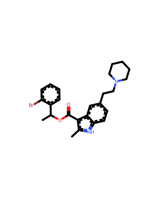 Cc1[nH]c2ccc(CCN3CCCCC3)cc2c1C(=O)OC(C)c1ccccc1Br